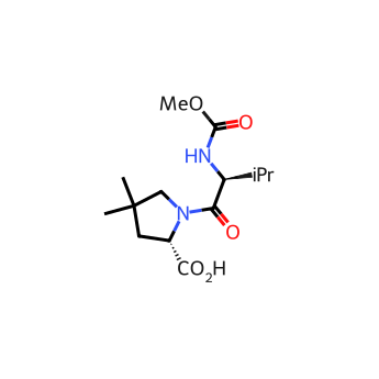 COC(=O)N[C@H](C(=O)N1CC(C)(C)C[C@H]1C(=O)O)C(C)C